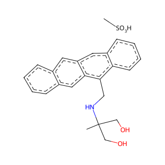 CC(CO)(CO)NCc1c2ccccc2cc2cc3ccccc3cc12.CS(=O)(=O)O